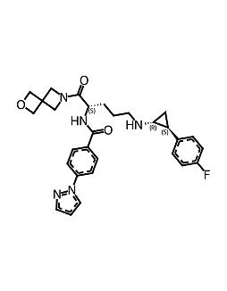 O=C(N[C@@H](CCCN[C@@H]1C[C@H]1c1ccc(F)cc1)C(=O)N1CC2(COC2)C1)c1ccc(-n2cccn2)cc1